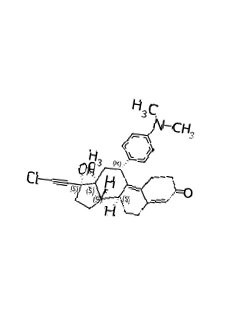 CN(C)c1ccc([C@H]2C[C@@]3(C)[C@@H](CC[C@@]3(O)C#CCl)[C@@H]3CCC4=CC(=O)CCC4=C32)cc1